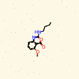 CCCCNc1nc2cccc(OC)c2c(=O)o1